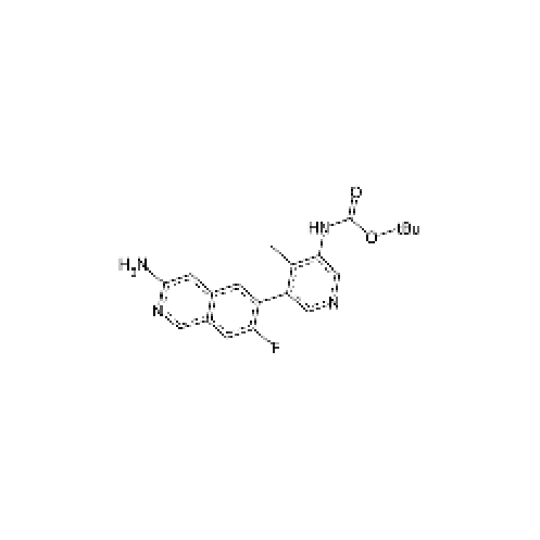 Cc1c(NC(=O)OC(C)(C)C)cncc1-c1cc2cc(N)ncc2cc1F